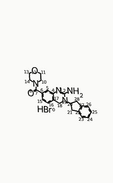 Br.NC1=Nc2cc(C(=O)N3CCOCC3)ccc2CN1C1Cc2ccccc2C1